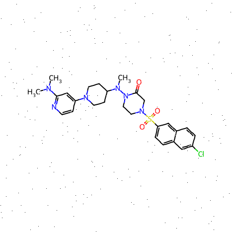 CN(C)c1cc(N2CCC(N(C)N3CCN(S(=O)(=O)c4ccc5cc(Cl)ccc5c4)CC3=O)CC2)ccn1